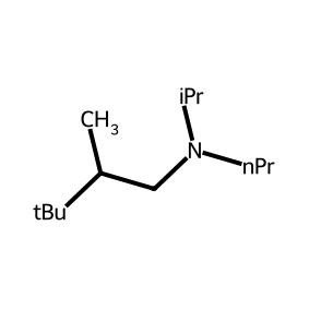 CCCN(CC(C)C(C)(C)C)C(C)C